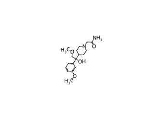 COCC(O)(c1cccc(OC)c1)C1CCN(CC(N)=O)CC1